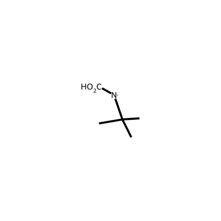 CC(C)(C)[N]C(=O)O